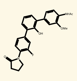 COc1cc(-c2cccc(-c3ccc(N4CCCC4=O)c(F)c3)c2O)ccc1NC(C)=O